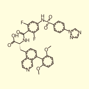 COc1cccc(OC)c1-c1ccc(C[C@@H](NC(=O)c2c(F)cc(NS(=O)(=O)c3ccc(-n4cncn4)cc3)cc2F)C(=O)O)c2ccncc12